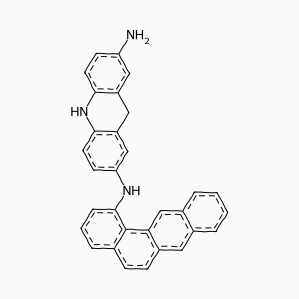 Nc1ccc2c(c1)Cc1cc(Nc3cccc4ccc5cc6ccccc6cc5c34)ccc1N2